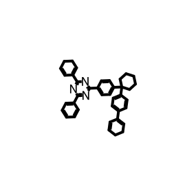 C1=CC(c2ccc(C3(c4ccc(-c5nc(C6=CCCC=C6)nc(-c6ccccc6)n5)cc4)CCCCC3)cc2)=CCC1